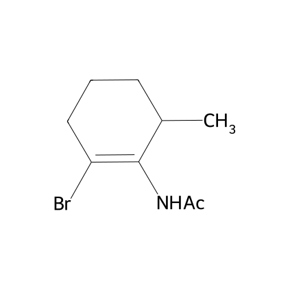 CC(=O)NC1=C(Br)CCCC1C